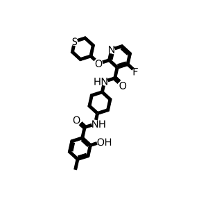 Cc1ccc(C(=O)NC2CCC(NC(=O)c3c(F)ccnc3OC3CCSCC3)CC2)c(O)c1